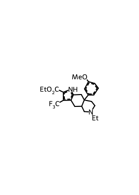 CCOC(=O)c1[nH]c2c(c1C(F)(F)F)CC1CN(CC)CCC1(c1cccc(OC)c1)C2